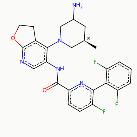 C[C@@H]1CC(N)CN(c2c(NC(=O)c3ccc(F)c(-c4c(F)cccc4F)n3)cnc3c2CCO3)C1